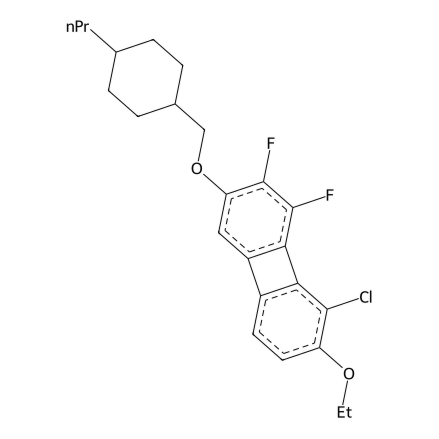 CCCC1CCC(COc2cc3c(c(F)c2F)-c2c-3ccc(OCC)c2Cl)CC1